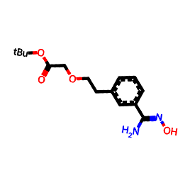 CC(C)(C)OC(=O)COCCc1cccc(/C(N)=N/O)c1